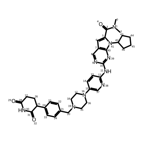 CN(C)C(=O)c1cc2cnc(Nc3ccc(N4CCN(Cc5ccc(C6CCC(=O)NC6=O)cc5)CC4)cn3)nc2n1C1CCCC1